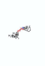 CCCCC/C=C\C/C=C\CCCCCCCCOCC(CN1CCC(C)(C)C1)OCCOCCO[C@H]1CC[C@@]2(C)C(=CC[C@@H]3C2CC[C@]2(C)C([C@H](C)CCCC(C)C)CC[C@@H]32)C1